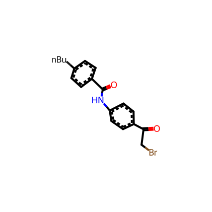 CCCCc1ccc(C(=O)Nc2ccc(C(=O)CBr)cc2)cc1